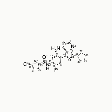 Nc1ncnc2c1c(-c1ccc(N[S+]([O-])c3ccc(Cl)s3)c(F)c1)cn2C1CCCC1